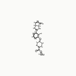 Cc1c(OC2CCN(C(=O)OC(C)(C)C)CC2)ncnc1N1CC2C=NN(C)C2C1